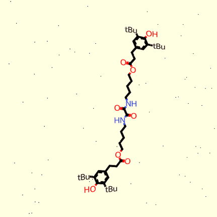 CC(C)(C)c1cc(CCC(=O)OCCCCCNC(=O)C(=O)NCCCCCOC(=O)CCc2cc(C(C)(C)C)c(O)c(C(C)(C)C)c2)cc(C(C)(C)C)c1O